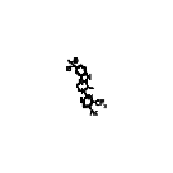 CC(=O)c1cnc(N2CCn3c(nc4ccc(S(C)(=O)=O)cc43)C2C)nc1C(F)(F)F